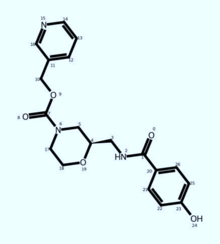 O=C(NC[C@@H]1CN(C(=O)OCc2cccnc2)CCO1)c1ccc(O)cc1